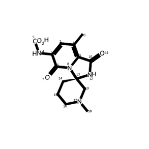 Cc1cc(NC(=O)O)c(=O)n2c1C(=O)N[C@@]21CCCN(C)C1